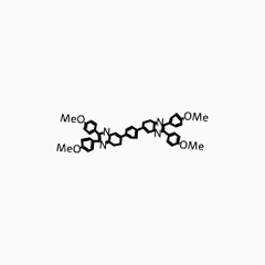 COc1ccc(-c2nc3c(nc2-c2ccc(OC)cc2)CCC(c2ccc(C4=Cc5nc(-c6ccc(OC)cc6)c(-c6ccc(OC)cc6)nc5CC4)cc2)=C3)cc1